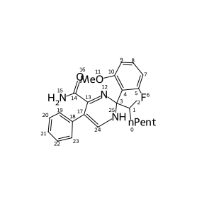 CCCCCC(C)C1(c2c(F)cccc2OC)N=C(C(N)=O)C(c2ccccc2)=CN1